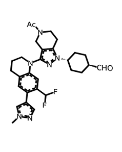 CC(=O)N1CCc2c(c(N3CCCc4cc(-c5cnn(C)c5)c(C(F)F)cc43)nn2[C@H]2CC[C@H](C=O)CC2)C1